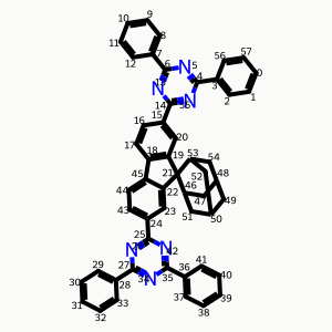 c1ccc(-c2nc(-c3ccccc3)nc(-c3ccc4c(c3)C3(c5cc(-c6nc(-c7ccccc7)nc(-c7ccccc7)n6)ccc5-4)C4CC5CC(C4)CC3C5)n2)cc1